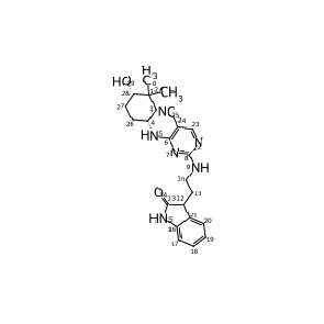 CC1(C)C[C@H](Nc2nc(NCCC3C(=O)Nc4ccccc43)ncc2C#N)CC[C@@H]1O